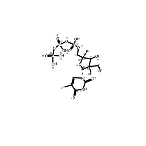 O=c1[nH]c(=S)c(F)cn1[C@@H]1O[C@](F)(COP(=O)(O)OP(=O)(O)OP(=O)(O)O)C(O)[C@]1(F)CF